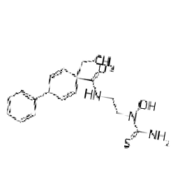 CCC1(C(=O)NCCN(O)C(N)=S)C=CC(c2ccccc2)C=C1